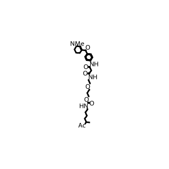 CNC1=C(C(=O)c2ccc(NC(=O)CC(=O)NCCOCCCOC(=O)NCCCCC(C)C(C)=O)cc2)CCCC1